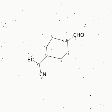 CCC(C#N)C1CCC(C=O)CC1